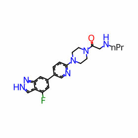 CCCNCC(=O)N1CCN(c2ccc(-c3cc(F)c4c[nH]nc4c3)cn2)CC1